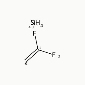 C=C(F)F.[SiH4]